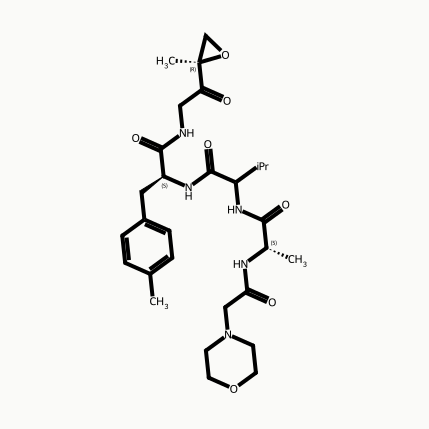 Cc1ccc(C[C@H](NC(=O)C(NC(=O)[C@H](C)NC(=O)CN2CCOCC2)C(C)C)C(=O)NCC(=O)[C@@]2(C)CO2)cc1